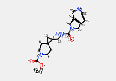 CC(C)(C)OC(=O)N1CCC2(CC1)CC2CNC(=O)N1Cc2ccncc2C1